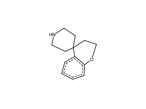 [c]1ccc2c(c1)OCCC21CCNCC1